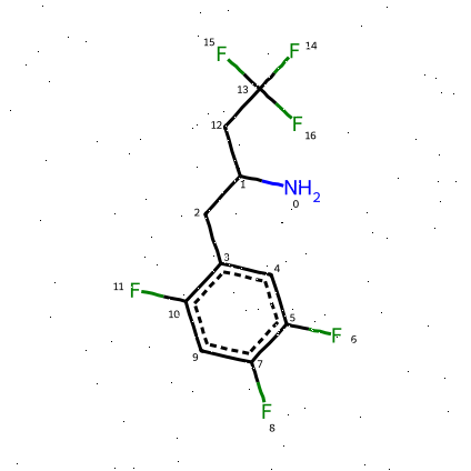 NC(Cc1cc(F)c(F)cc1F)CC(F)(F)F